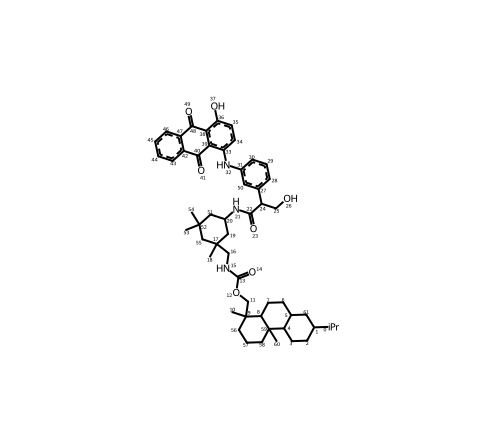 CC(C)C1CCC2C(CCC3C(C)(COC(=O)NCC4(C)CC(NC(=O)C(CO)c5cccc(Nc6ccc(O)c7c6C(=O)c6ccccc6C7=O)c5)CC(C)(C)C4)CCCC23C)C1